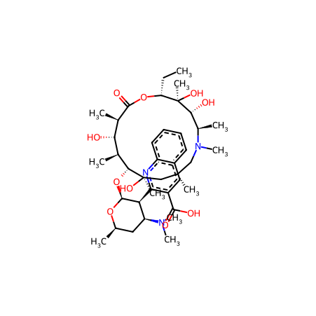 CC[C@H]1OC(=O)[C@H](C)[C@@H](O)[C@H](C)[C@@H](O[C@@H]2O[C@H](C)C[C@H](N(C)C)[C@@H]2c2nc3ccccc3cc2C(=O)O)[C@](C)(O)C[C@@H](C)CN(C)[C@H](C)[C@@H](O)[C@]1(C)O